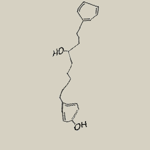 Oc1ccc(CCCCC(O)CCc2ccccc2)cc1